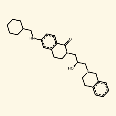 O=C1c2ccc(NCC3CCCCC3)cc2CCN1C[C@H](O)CN1CCc2ccccc2C1